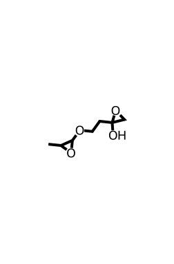 CC1OC1OCCC1(O)CO1